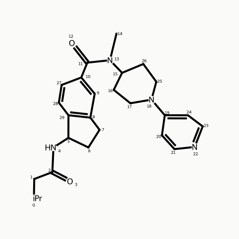 CC(C)CC(=O)NC1CCc2cc(C(=O)N(C)C3CCN(c4ccncc4)CC3)ccc21